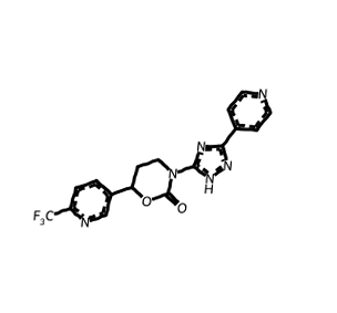 O=C1OC(c2ccc(C(F)(F)F)nc2)CCN1c1nc(-c2ccncc2)n[nH]1